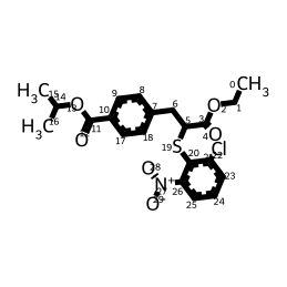 CCOC(=O)C(Cc1ccc(C(=O)OC(C)C)cc1)Sc1c(Cl)cccc1[N+](=O)[O-]